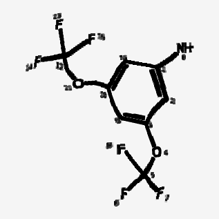 [NH]c1cc(OC(F)(F)F)cc(OC(F)(F)F)c1